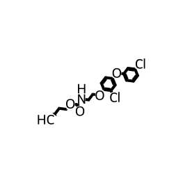 C#CCCOC(=O)NCCOc1ccc(Oc2cccc(Cl)c2)cc1Cl